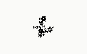 CN1CCN(CC(=O)Nc2cc(C(=O)Nc3nnc(-c4c(F)cccc4F)s3)ccc2OC(F)(F)F)CC1.Cl